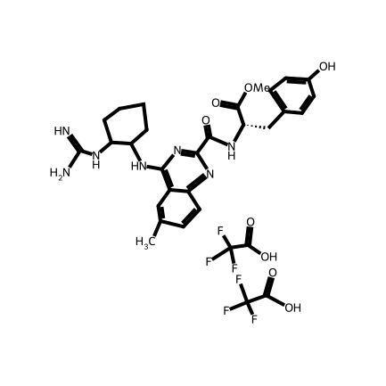 COC(=O)[C@H](Cc1ccc(O)cc1)NC(=O)c1nc(NC2CCCCC2NC(=N)N)c2cc(C)ccc2n1.O=C(O)C(F)(F)F.O=C(O)C(F)(F)F